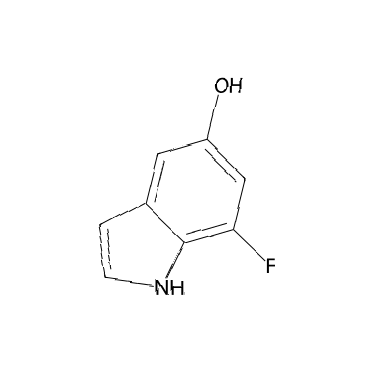 Oc1cc(F)c2[nH]ccc2c1